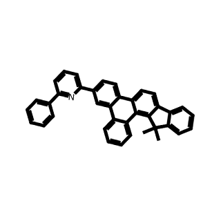 CC1(C)c2ccccc2-c2ccc3c4ccc(-c5cccc(-c6ccccc6)n5)cc4c4ccccc4c3c21